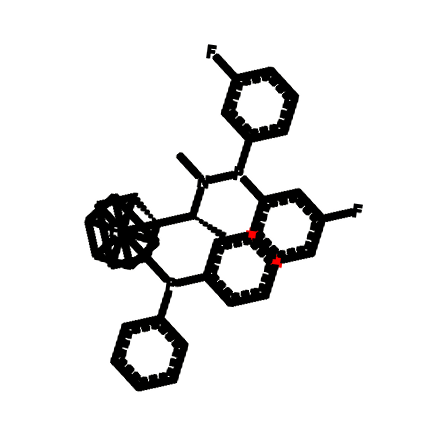 C[C@@H](N(C)P(c1cccc(F)c1)c1cccc(F)c1)[C@@]12[CH]3[CH]4[CH]5[C]1(P(c1ccccc1)c1ccccc1)[Fe]45321678[CH]2[CH]1[CH]6[CH]7[CH]28